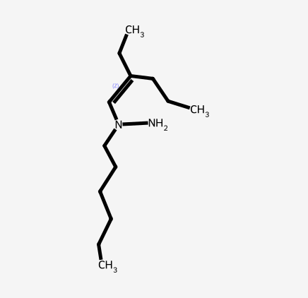 CCCCCCN(N)/C=C(/CC)CCC